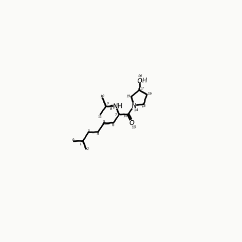 CC(C)CCCCC(NC(C)C)C(=O)N1CCC(O)C1